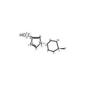 C[C@H]1CC[C@H](n2cnc(C(=O)O)c2)CC1